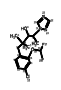 CC(C(O)C(C)(C)Cc1ccc(Cl)cc1OC(F)F)n1cncn1